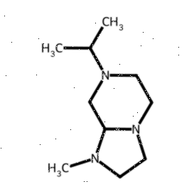 CC(C)N1CCN2CCN(C)C2C1